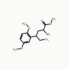 CCC(CC(N)C(=O)OC)c1cc(OC)ccc1OC